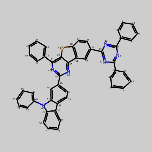 c1ccc(-c2nc(-c3ccccc3)nc(-c3ccc4sc5c(-c6ccccc6)nc(-c6ccc7c8ccccc8n(-c8ccccc8)c7c6)nc5c4c3)n2)cc1